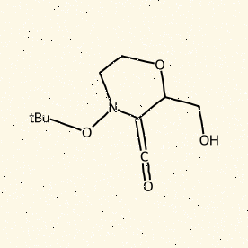 CC(C)(C)ON1CCOC(CO)C1=C=O